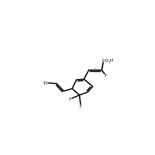 CCC=CC1C=C(/C=C(\F)C(=O)O)C=CC1(F)F